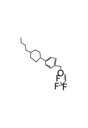 CCCCC1CCC(c2ccc(CO/C=C\C(F)(F)F)cc2)CC1